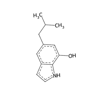 CC(C)Cc1cc(O)c2[nH]ccc2c1